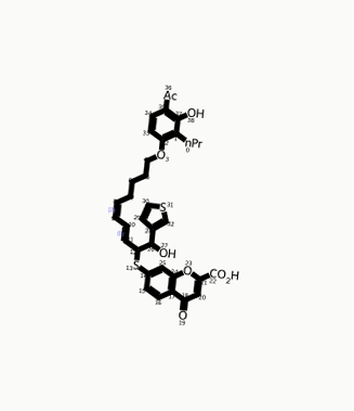 CCCc1c(OCCCC/C=C\C=C\C(Sc2ccc3c(=O)cc(C(=O)O)oc3c2)C(O)c2ccsc2)ccc(C(C)=O)c1O